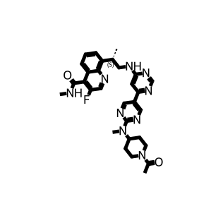 CNC(=O)c1c(F)cnc2c([C@H](C)CNc3cc(-c4cnc(N(C)C5CCN(C(C)=O)CC5)nc4)ncn3)cccc12